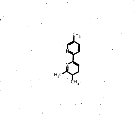 CC1=NC(c2ccc(C)cn2)=CCC1C